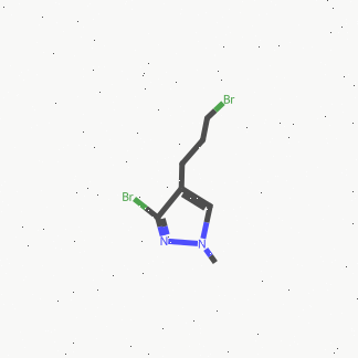 Cn1cc(CCCBr)c(Br)n1